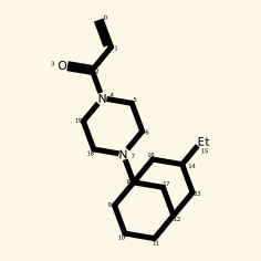 C=CC(=O)N1CCN(C23CCCC(CC(CC)C2)C3)CC1